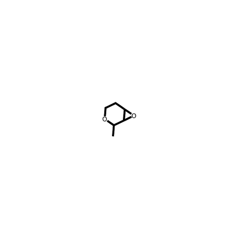 CC1OCCC2OC12